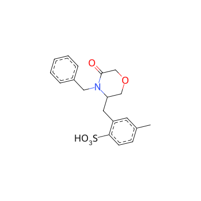 Cc1ccc(S(=O)(=O)O)c(CC2COCC(=O)N2Cc2ccccc2)c1